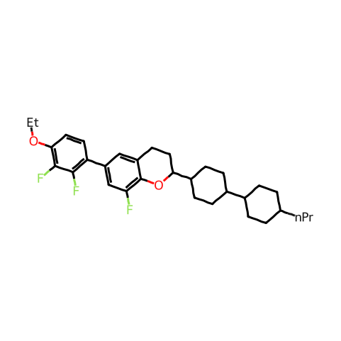 CCCC1CCC(C2CCC(C3CCc4cc(-c5ccc(OCC)c(F)c5F)cc(F)c4O3)CC2)CC1